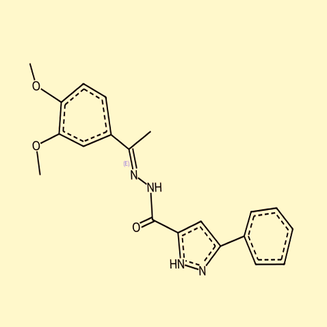 COc1ccc(/C(C)=N/NC(=O)c2cc(-c3ccccc3)n[nH]2)cc1OC